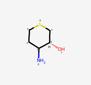 NC1CCSC[C@@H]1O